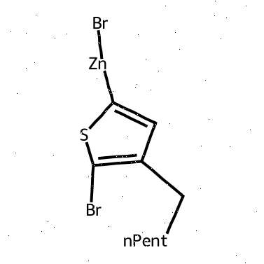 CCCCCCc1c[c]([Zn][Br])sc1Br